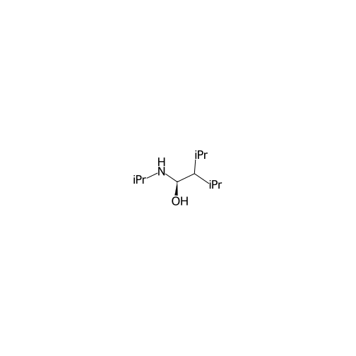 CC(C)N[C@H](O)C(C(C)C)C(C)C